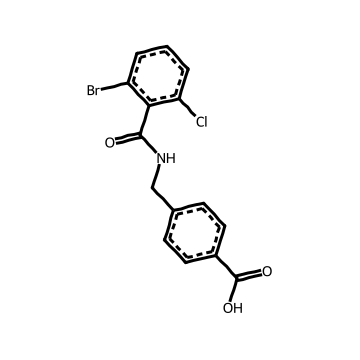 O=C(O)c1ccc(CNC(=O)c2c(Cl)cccc2Br)cc1